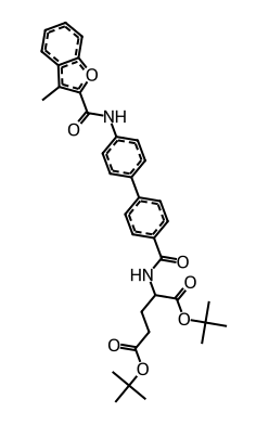 Cc1c(C(=O)Nc2ccc(-c3ccc(C(=O)NC(CCC(=O)OC(C)(C)C)C(=O)OC(C)(C)C)cc3)cc2)oc2ccccc12